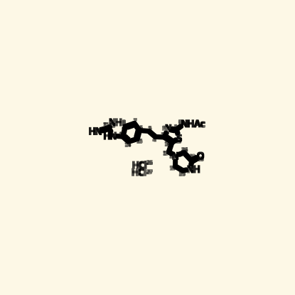 CC(=O)Nc1nc(CCc2ccc(NC(=N)N)cc2)c(CN2CCNC(=O)C2)s1.Cl.Cl